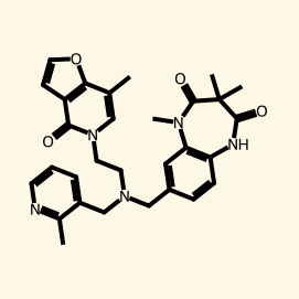 Cc1ncccc1CN(CCn1cc(C)c2occc2c1=O)Cc1ccc2c(c1)N(C)C(=O)C(C)(C)C(=O)N2